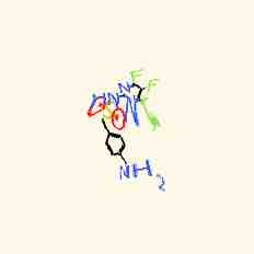 NCc1ccc(CS(=O)(=O)Nc2nc(F)c(F)c(F)n2)cc1